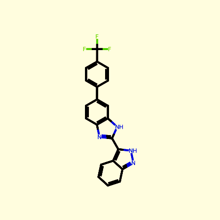 FC(F)(F)c1ccc(-c2ccc3nc(-c4[nH]nc5ccccc45)[nH]c3c2)cc1